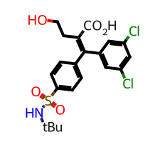 CC(C)(C)NS(=O)(=O)c1ccc(/C(=C(\CCO)C(=O)O)c2cc(Cl)cc(Cl)c2)cc1